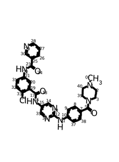 CN1CCN(C(=O)c2ccc(Nc3ncc(NC(=O)c4cc(NC(=O)c5cccnc5)ccc4Cl)cn3)cc2)CC1